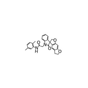 Cc1ccc(C)c(NC(=O)CN2C(=O)C3(COc4cc5c(cc43)CCO5)c3ccccc32)c1